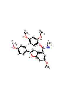 CNC(=O)c1cc(OC)cc2oc(-c3ccc(OC)cc3)c(-c3cc(OC)cc(OC)c3)c12